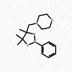 CC1(C)OB(c2ccccc2)OC1(C)CN1CCOCC1